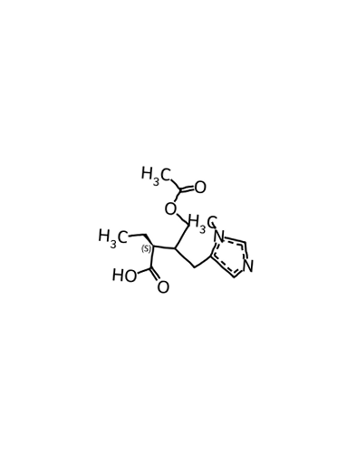 CC[C@H](C(=O)O)C(COC(C)=O)Cc1cncn1C